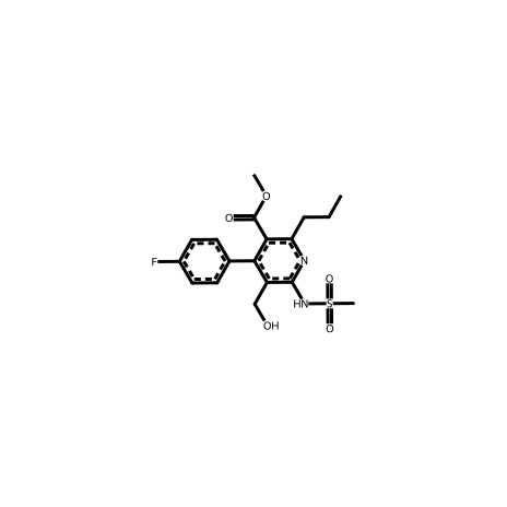 CCCc1nc(NS(C)(=O)=O)c(CO)c(-c2ccc(F)cc2)c1C(=O)OC